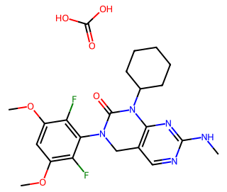 CNc1ncc2c(n1)N(C1CCCCC1)C(=O)N(c1c(F)c(OC)cc(OC)c1F)C2.O=C(O)O